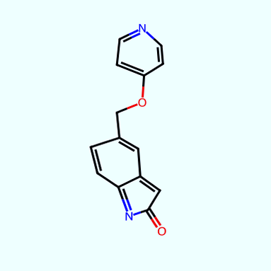 O=C1C=c2cc(COc3ccncc3)ccc2=N1